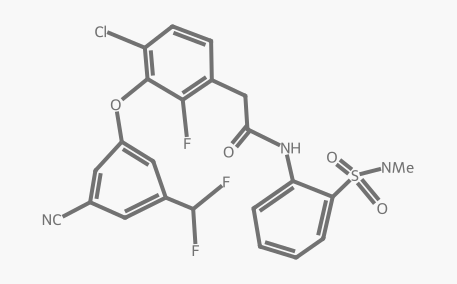 CNS(=O)(=O)c1ccccc1NC(=O)Cc1ccc(Cl)c(Oc2cc(C#N)cc(C(F)F)c2)c1F